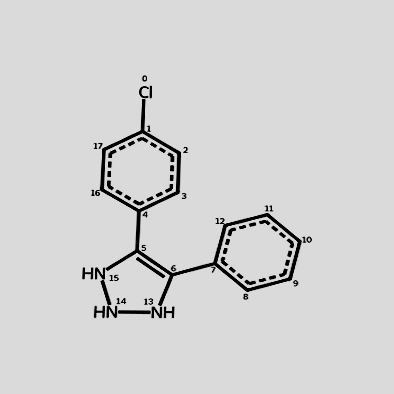 Clc1ccc(C2=C(c3ccccc3)NNN2)cc1